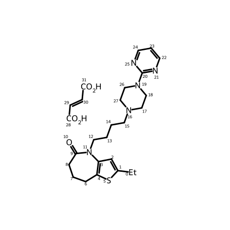 CCc1cc2c(s1)CCCC(=O)N2CCCCN1CCN(c2ncccn2)CC1.O=C(O)/C=C/C(=O)O